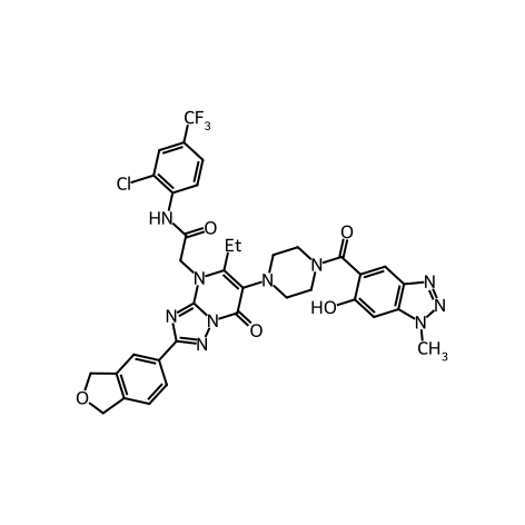 CCc1c(N2CCN(C(=O)c3cc4nnn(C)c4cc3O)CC2)c(=O)n2nc(-c3ccc4c(c3)COC4)nc2n1CC(=O)Nc1ccc(C(F)(F)F)cc1Cl